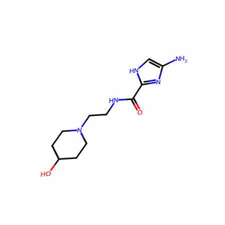 Nc1c[nH]c(C(=O)NCCN2CCC(O)CC2)n1